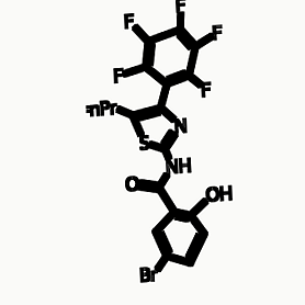 CC[C]c1sc(NC(=O)c2cc(Br)ccc2O)nc1-c1c(F)c(F)c(F)c(F)c1F